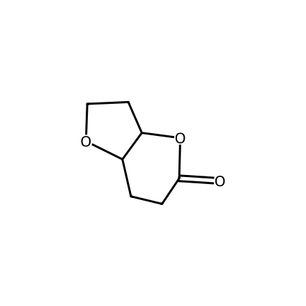 O=C1CCC2OCCC2O1